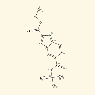 CCOC(=O)c1cn2cc(C(=O)OC(C)(C)C)ncc2n1